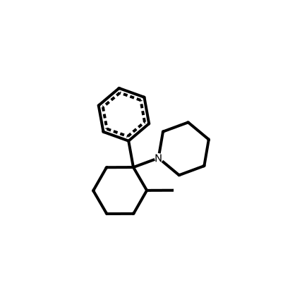 CC1CCCCC1(c1ccccc1)N1CCCCC1